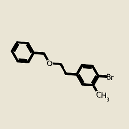 Cc1cc(CCOCc2ccccc2)ccc1Br